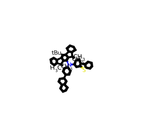 CC(C)(C)c1c2c(c(N(c3ccc(-c4ccc5ccccc5c4)cc3)c3ccc4c(c3)sc3ccccc34)c3c1-c1ccccc1C3(C)C)C(C)(C)c1ccccc1-2